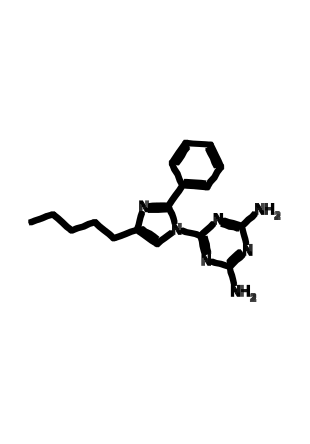 CCCCCc1cn(-c2nc(N)nc(N)n2)c(-c2ccccc2)n1